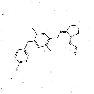 Cc1cc(Cc2ccc(F)cc2)c(C)cc1CN=C1CCCN1OC=O